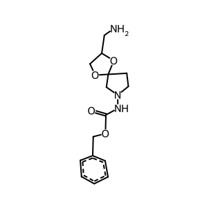 NCC1COC2(CCN(NC(=O)OCc3ccccc3)C2)O1